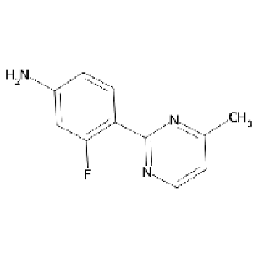 Cc1ccnc(-c2ccc(N)cc2F)n1